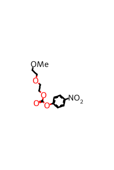 COCCOCCOC(=O)Oc1ccc([N+](=O)[O-])cc1